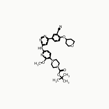 COc1nc(Nc2cc(-c3ccc(OC4CCOCC4)c(C#N)c3)ncn2)ccc1N1CCN(C(=O)OC(C)(C)C)CC1